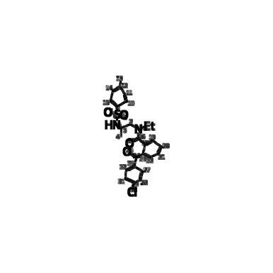 CCN(CC(C)NS(=O)(=O)c1ccc(C)cc1)C(=O)c1ccccc1C(=O)c1ccc(Cl)cc1